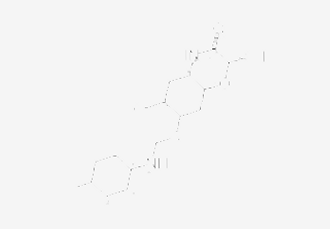 CC1OC2CC(SCNC3CCC(F)CC3)C(Cl)CC2NC1=O